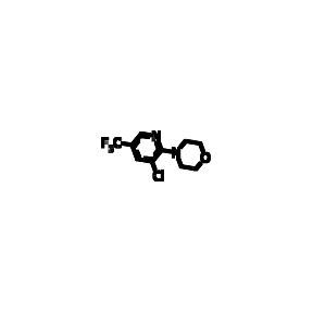 FC(F)(F)c1cnc(N2CCOCC2)c(Cl)c1